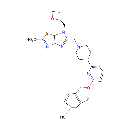 N#Cc1ccc(COc2cccc(C3CCN(Cc4nc5nc(C(=O)O)sc5n4C[C@@H]4CCO4)CC3)n2)c(F)c1